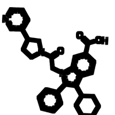 O=C(O)c1ccc2c(C3CCCCC3)c(-c3ccccc3)n(CC(=O)N3CCC(c4cccnc4)C3)c2c1